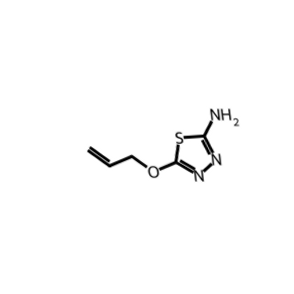 C=CCOc1nnc(N)s1